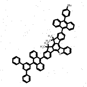 CC(C)(C)c1ccc(-c2c3ccccc3c(-c3ccc4c(c3)C(C)(C)c3c5c(c6oc7ccccc7c6c3-4)-c3ccc(-c4c6ccccc6c(-c6cc(-c7ccccc7)cc(-c7ccccc7)c6)c6ccccc46)cc3C5(C)C)c3ccccc23)cc1